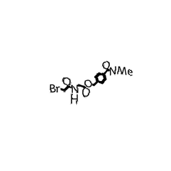 CNC(=O)c1ccc(COC(=O)CNC(=O)CBr)cc1